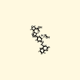 Cc1cc(COc2ccc(C3=NOC([C@H]4COC[C@H]4C(=O)O)C3)cc2)c2ccccc2n1.NO